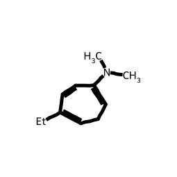 CCC1=CCC=C(N(C)C)C=C1